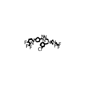 Fc1ccc(N2CCC(c3nnc4n3-c3ccc(Cl)cc3CN(C3CN(CC(F)(F)F)C3)C4)CC2)nc1C(F)F